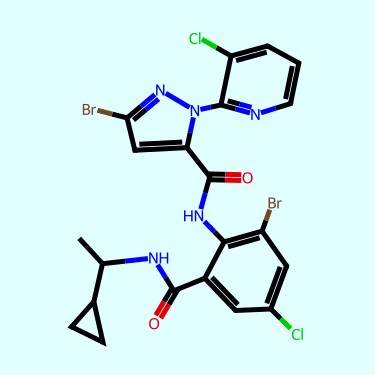 CC(NC(=O)c1cc(Cl)cc(Br)c1NC(=O)c1cc(Br)nn1-c1ncccc1Cl)C1CC1